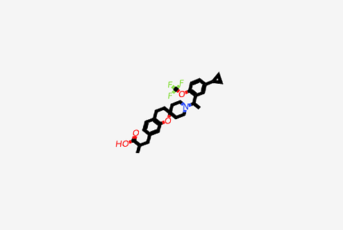 CC(Cc1ccc2c(c1)OC1(CC2)CCN(C(C)c2cc(C3CC3)ccc2OC(F)(F)F)CC1)C(=O)O